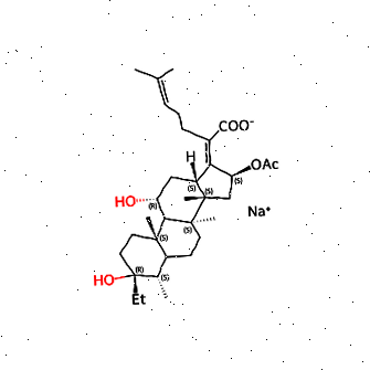 CC[C@@]1(O)CC[C@@]2(C)C(CC[C@@]3(C)C2[C@H](O)C[C@@H]2C(=C(CCC=C(C)C)C(=O)[O-])[C@@H](OC(C)=O)C[C@@]23C)[C@@H]1C.[Na+]